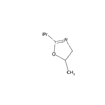 CC1CN=C(C(C)C)O1